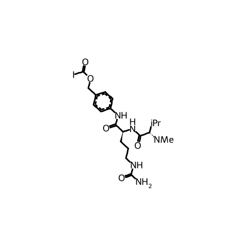 CN[C@H](C(=O)N[C@@H](CCCNC(N)=O)C(=O)Nc1ccc(COC(=O)I)cc1)C(C)C